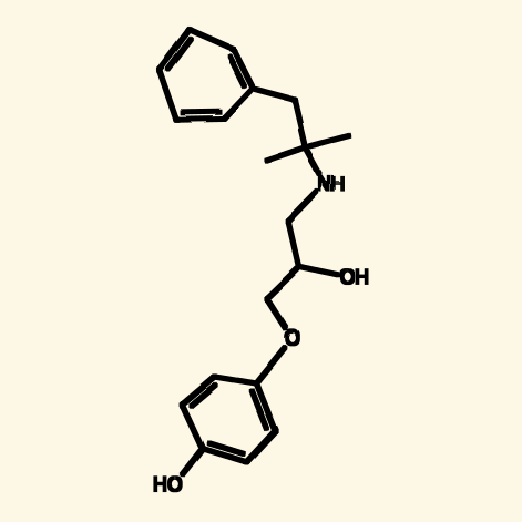 CC(C)(Cc1ccccc1)NCC(O)COc1ccc(O)cc1